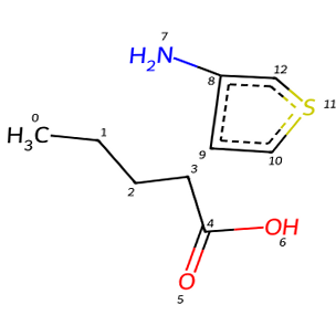 CCCCC(=O)O.Nc1ccsc1